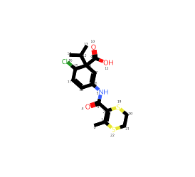 CC1=C(C(=O)NC2=CC(C(=O)O)(C(C)C)C(Cl)C=C2)SCCS1